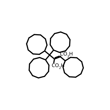 O=C(O)C(=C(C(=O)O)C(C1CCCCCCCCC1)(C1CCCCCCCCC1)C1CCCCCCCCC1)C1CCCCCCCCC1